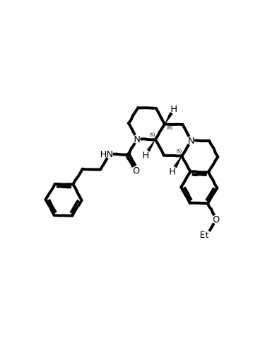 CCOc1ccc2c(c1)CCN1C[C@H]3CCCN(C(=O)NCCc4ccccc4)[C@H]3C[C@@H]21